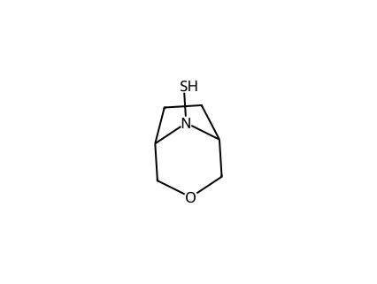 SN1C2CCC1COC2